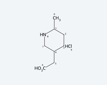 CC1CCC(CC(=O)O)CN1.Cl